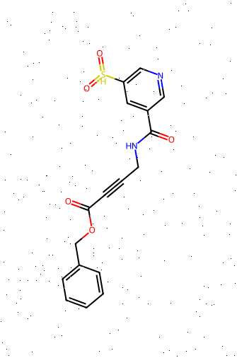 O=C(C#CCNC(=O)c1cncc([SH](=O)=O)c1)OCc1ccccc1